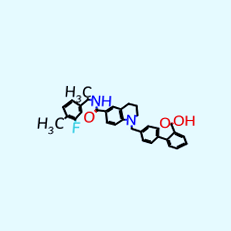 Cc1ccc([C@H](C)NC(=O)c2ccc3c(c2)CCCN3Cc2ccc(-c3ccccc3C(=O)O)cc2)cc1F